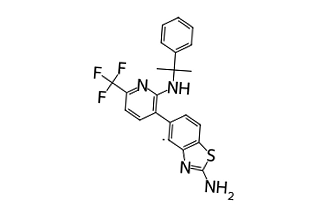 CC(C)(Nc1nc(C(F)(F)F)ccc1-c1[c]c2nc(N)sc2cc1)c1ccccc1